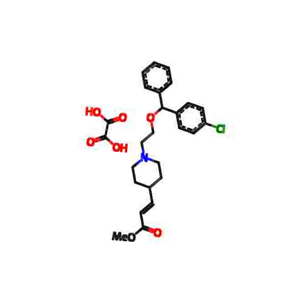 COC(=O)C=CC1CCN(CCOC(c2ccccc2)c2ccc(Cl)cc2)CC1.O=C(O)C(=O)O